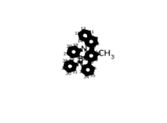 Cc1cc2c3c4c1c1ccc5ccccc5c1n4-c1ccccc1B3N(c1ccccc1)c1ccccc1-2